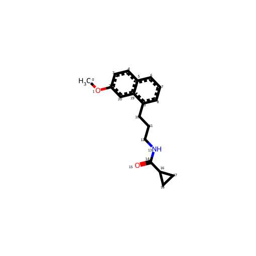 COc1ccc2cccc(CCCNC(=O)C3CC3)c2c1